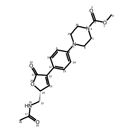 COC(=O)N1CCN(c2ccc(C3=C[C@H](CNC(C)=O)OC3=O)cc2)CC1